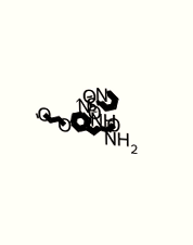 COCCOc1cc(N(C)S(=O)(=O)c2ccccn2)c2[nH]c(C(N)=O)cc2c1